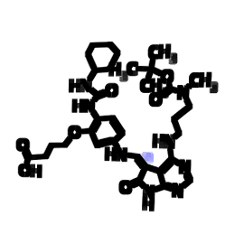 CN(CCCNc1ncnc2c1/C(=C/Nc1ccc(NC(=O)NC3CCCCC3)c(OCCCC(=O)O)c1)C(=O)N2)C(=O)OC(C)(C)C